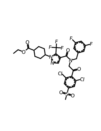 CCOC(=O)C1CCC(n2ncc(C(=O)N(CC(=O)c3c(Cl)cc(S(C)(=O)=O)cc3Cl)Cc3cc(F)cc(F)c3)c2C(F)(F)F)CC1